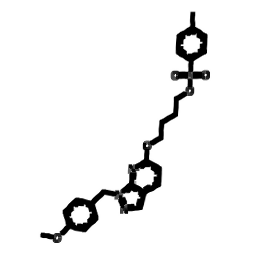 COc1ccc(Cn2ncc3ccc(OCCCCOS(=O)(=O)c4ccc(C)cc4)nc32)cc1